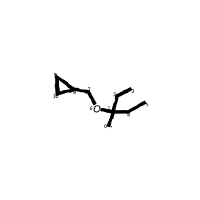 [CH2]C(CC)(CC)OCC1CC1